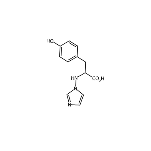 O=C(O)C(Cc1ccc(O)cc1)Nn1ccnc1